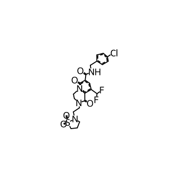 O=C(NCc1ccc(Cl)cc1)c1cc(C(F)F)c2n(c1=O)CCN(CCN1CCCS1(=O)=O)C2=O